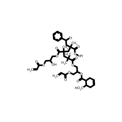 C=CC(=O)OCC(O)COC(=O)C(C)(CC(C)(C)C(=O)OCC(COC(=O)C=C)OC(=O)C1CC=CCC1C(=O)O)CC(C)(CC(CC)c1ccccc1)C(=O)OCCC